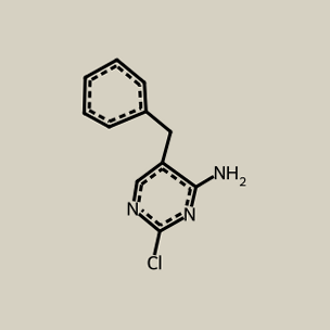 Nc1nc(Cl)ncc1Cc1ccccc1